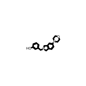 Oc1cccc(CN2Cc3ccc(N4CCOCC4)cc3C2)c1